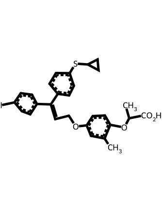 Cc1cc(OCC=C(c2ccc(I)cc2)c2ccc(SC3CC3)cc2)ccc1OC(C)C(=O)O